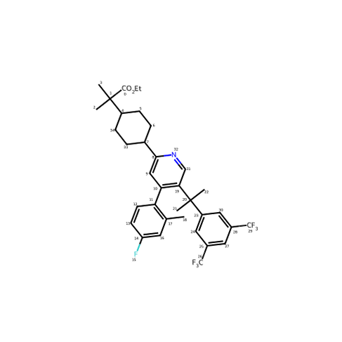 CCOC(=O)C(C)(C)C1CCC(c2cc(-c3ccc(F)cc3C)c(C(C)(C)c3cc(C(F)(F)F)cc(C(F)(F)F)c3)cn2)CC1